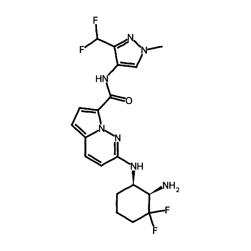 Cn1cc(NC(=O)c2ccc3ccc(N[C@@H]4CCCC(F)(F)[C@@H]4N)nn23)c(C(F)F)n1